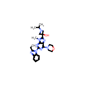 CCc1nc2ccccc2n1-c1nc(N2CCOCC2)c2nc(C3(O)CN(C(C)C)C3)n(C)c2n1